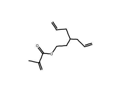 C=CCC(CC=C)CCOC(=O)C(=C)C